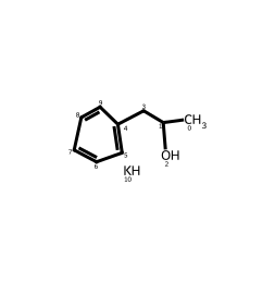 CC(O)Cc1ccccc1.[KH]